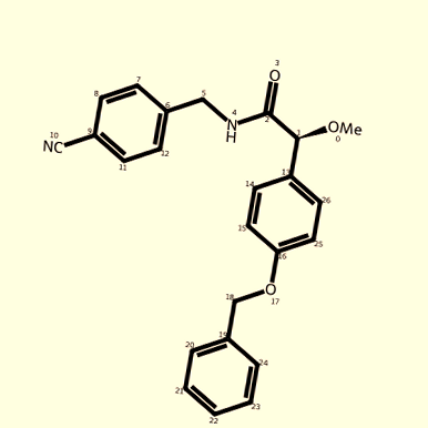 CO[C@H](C(=O)NCc1ccc(C#N)cc1)c1ccc(OCc2ccccc2)cc1